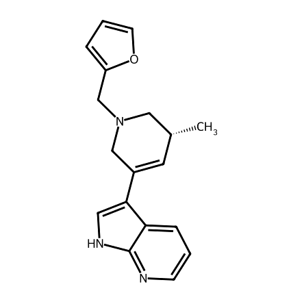 C[C@@H]1C=C(c2c[nH]c3ncccc23)CN(Cc2ccco2)C1